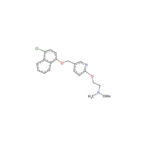 CON(C)CCOc1ccc(COc2ccc(Cl)c3ccccc23)cn1